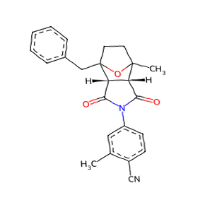 Cc1cc(N2C(=O)[C@@H]3[C@H](C2=O)C2(Cc4ccccc4)CCC3(C)O2)ccc1C#N